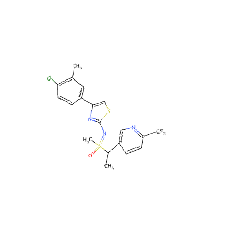 Cc1cc(-c2csc(N=S(C)(=O)C(C)c3ccc(C(F)(F)F)nc3)n2)ccc1Cl